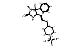 CN1C(=O)NC(C=CCC2CCN(S(C)(=O)=O)CC2)C1(C)c1ccccc1